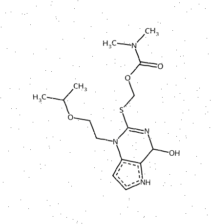 CC(C)OCCN1C(SCOC(=O)N(C)C)=NC(O)c2[nH]ccc21